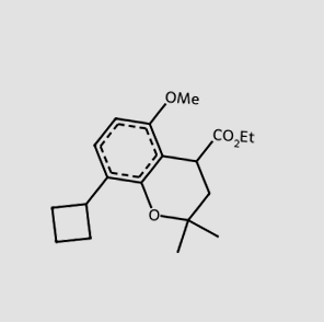 CCOC(=O)C1CC(C)(C)Oc2c(C3CCC3)ccc(OC)c21